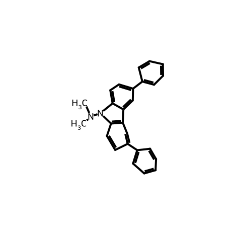 CN(C)n1c2ccc(-c3ccccc3)cc2c2cc(-c3ccccc3)ccc21